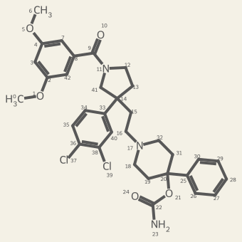 COc1cc(OC)cc(C(=O)N2CCC(CCN3CCC(OC(N)=O)(c4ccccc4)CC3)(c3ccc(Cl)c(Cl)c3)C2)c1